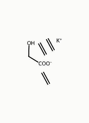 C=C.C=C.C=C.O=C([O-])CO.[K+]